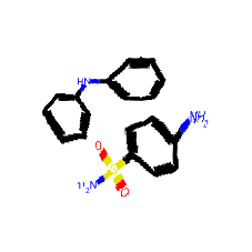 Nc1ccc(S(N)(=O)=O)cc1.c1ccc(Nc2ccccc2)cc1